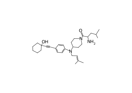 CC(C)=CCN(c1ccc(C#CC2(O)CCCCC2)cc1)C1CCN(C(=O)C(N)CC(C)C)CC1